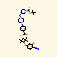 CC(C)(C)OC(=O)N1CC[C@H](CN2CCN(c3ccc(C(=O)N[C@H]4C(C)(C)[C@H](Oc5ccc(C#N)c(Cl)c5)C4(C)C)cc3)CC2)C1